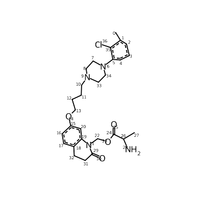 Cc1cccc(N2CCN(CCCCOc3ccc4c(c3)N(COC(=O)C(C)N)C(=O)CC4)CC2)c1Cl